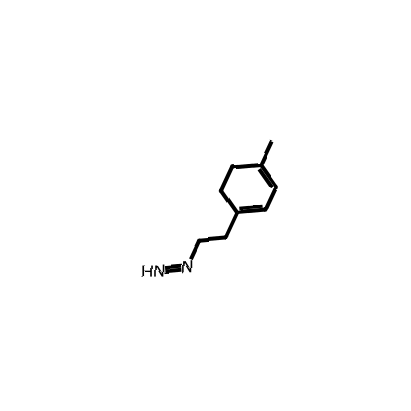 CC1=CC=C(CCN=N)CC1